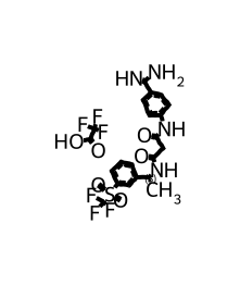 C[C@H](NC(=O)CC(=O)Nc1ccc(C(=N)N)cc1)c1cccc(S(=O)(=O)C(F)(F)F)c1.O=C(O)C(F)(F)F